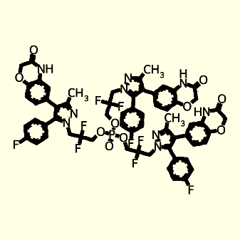 Cc1nn(CC(F)(F)COP(=O)(OCC(F)(F)Cn2nc(C)c(-c3ccc4c(c3)NC(=O)CO4)c2-c2ccc(F)cc2)OCC(F)(F)Cn2nc(C)c(-c3ccc4c(c3)NC(=O)CO4)c2-c2ccc(F)cc2)c(-c2ccc(F)cc2)c1-c1ccc2c(c1)NC(=O)CO2